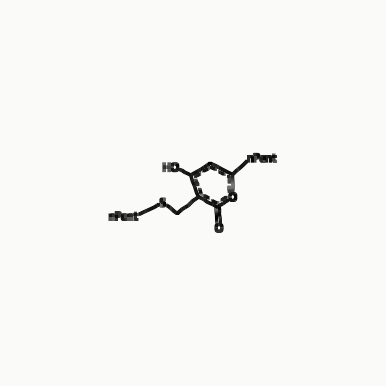 CCCCCSCc1c(O)cc(CCCCC)oc1=O